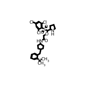 CN(C)c1ccccc1CC1CCC(NC(=O)COC(C2CCCN2)S(=O)(=O)c2c(Cl)cc(Cl)cc2Cl)CC1